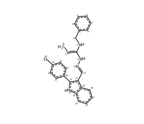 CN=C(NCc1ccccc1)NN=Cc1c(-c2ccc(Cl)cc2)[nH]c2ccccc12